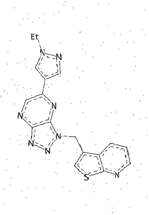 CCn1cc(-c2cnc3nnn(Cc4csc5ncccc45)c3n2)cn1